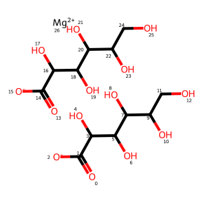 O=C([O-])C(O)C(O)C(O)C(O)CO.O=C([O-])C(O)C(O)C(O)C(O)CO.[Mg+2]